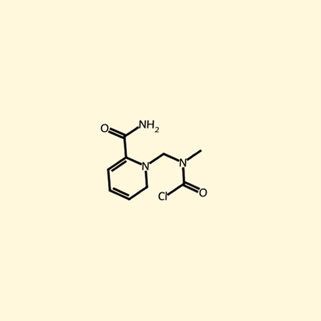 CN(CN1CC=CC=C1C(N)=O)C(=O)Cl